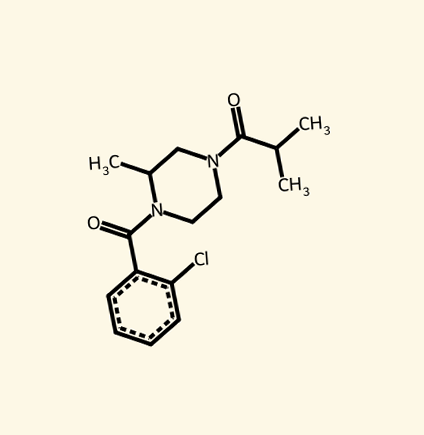 CC(C)C(=O)N1CCN(C(=O)c2ccccc2Cl)C(C)C1